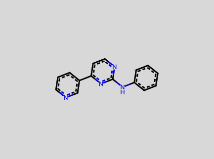 [c]1ccccc1Nc1nccc(-c2cccnc2)n1